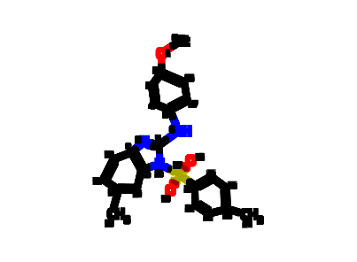 CCOc1ccc(Nc2nc3ccc(C)cc3n2S(=O)(=O)c2ccc(C)cc2)cc1